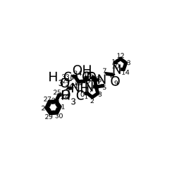 CC1CCC2(CN(CC(=O)N3CCCC3)C2=O)N1C(=O)[C@@H](NC(=O)OCc1ccccc1)[C@@H](C)O